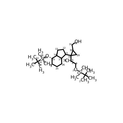 CC(C)(C)[Si](C)(C)OCCC1(C2CCC3[C@@H](O[Si](C)(C)C(C)(C)C)CCC[C@@]32C)CC1CO